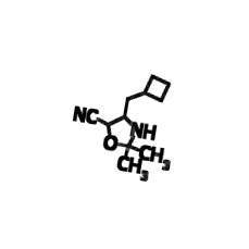 CC1(C)NC(CC2CCC2)C(C#N)O1